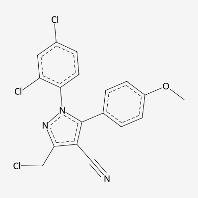 COc1ccc(-c2c(C#N)c(CCl)nn2-c2ccc(Cl)cc2Cl)cc1